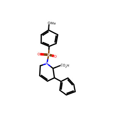 COc1ccc(S(=O)(=O)N2CC=CC(c3ccccc3)C2C(=O)O)cc1